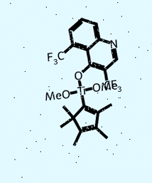 C[O][Ti]([O]C)([O]c1c(C(F)(F)F)cnc2cccc(C(F)(F)F)c12)[C]1=C(C)C(C)=C(C)C1(C)C